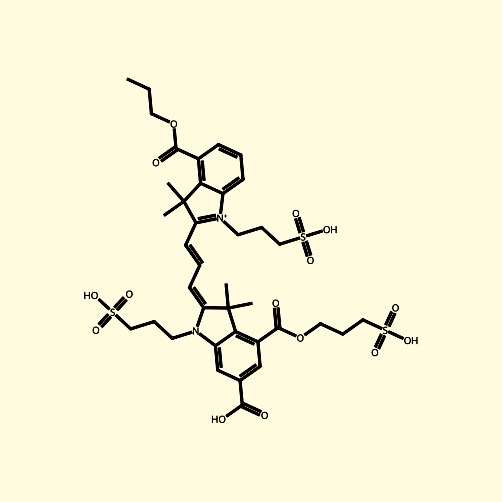 CCCOC(=O)c1cccc2c1C(C)(C)C(/C=C/C=C1/N(CCCS(=O)(=O)O)c3cc(C(=O)O)cc(C(=O)OCCCS(=O)(=O)O)c3C1(C)C)=[N+]2CCCS(=O)(=O)O